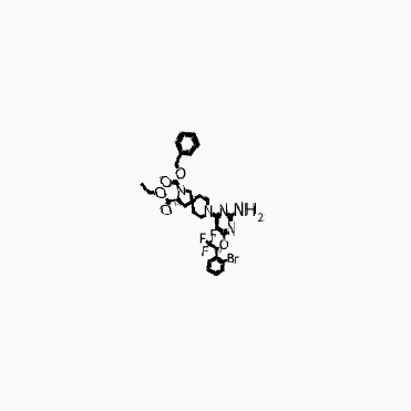 CCOC(=O)[C@@H]1CC2(CCN(c3cc(O[C@H](c4ccccc4Br)C(F)(F)F)nc(N)n3)CC2)CN1C(=O)OCc1ccccc1